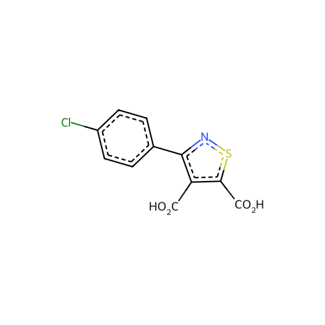 O=C(O)c1snc(-c2ccc(Cl)cc2)c1C(=O)O